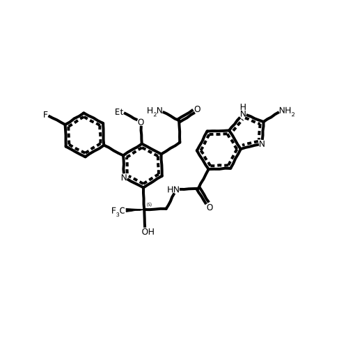 CCOc1c(CC(N)=O)cc([C@@](O)(CNC(=O)c2ccc3[nH]c(N)nc3c2)C(F)(F)F)nc1-c1ccc(F)cc1